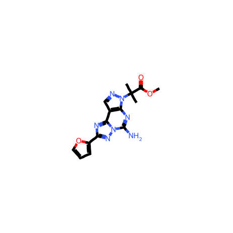 COC(=O)C(C)(C)n1ncc2c1nc(N)n1nc(-c3ccco3)nc21